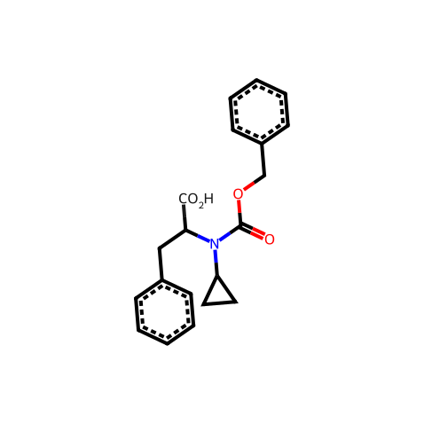 O=C(O)C(Cc1ccccc1)N(C(=O)OCc1ccccc1)C1CC1